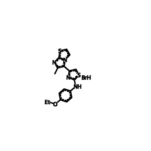 Br.CCOc1ccc(Nc2nc(-c3c(C)nc4sccn34)cs2)cc1